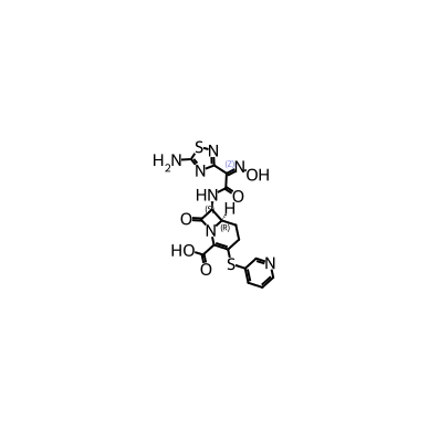 Nc1nc(/C(=N/O)C(=O)N[C@@H]2C(=O)N3C(C(=O)O)=C(Sc4cccnc4)CC[C@H]23)ns1